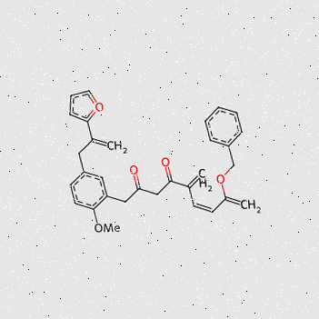 C=C(/C=C\C(=C)C(=O)CC(=O)Cc1cc(CC(=C)c2ccco2)ccc1OC)OCc1ccccc1